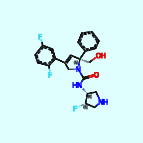 O=C(N[C@@H]1CNC[C@@H]1F)N1CC(c2cc(F)ccc2F)=C[C@@]1(CO)c1ccccc1